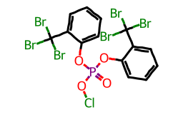 O=P(OCl)(Oc1ccccc1C(Br)(Br)Br)Oc1ccccc1C(Br)(Br)Br